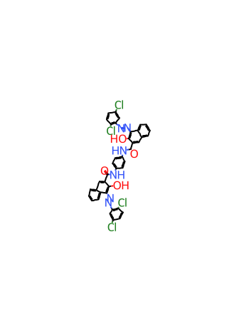 O=C(Nc1ccc(NC(=O)c2cc3ccccc3c(/N=N/c3cc(Cl)ccc3Cl)c2O)cc1)c1cc2ccccc2c(/N=N/c2cc(Cl)ccc2Cl)c1O